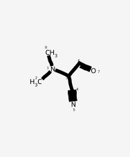 CN(C)C(C#N)C=O